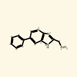 [AsH2]Cc1nc2ncc(-c3ccccc3)cc2[nH]1